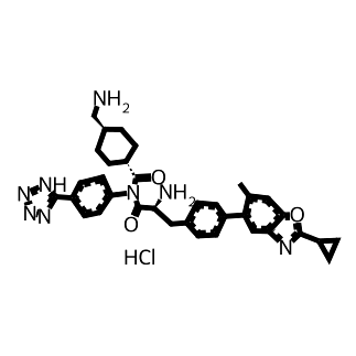 Cc1cc2oc(C3CC3)nc2cc1-c1ccc(C[C@H](N)C(=O)N(c2ccc(-c3nnn[nH]3)cc2)C(=O)[C@H]2CC[C@H](CN)CC2)cc1.Cl